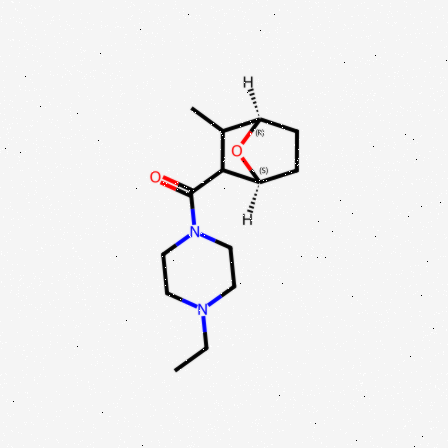 CCN1CCN(C(=O)C2C(C)[C@H]3CC[C@@H]2O3)CC1